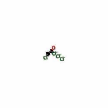 [Cl-].[Cl-].[Cl-].[Cl-].[O]=[Bi+4]